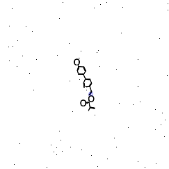 C=C(C)C(=O)O/C=C/c1ccc(-c2ccc(OC)cc2)cc1